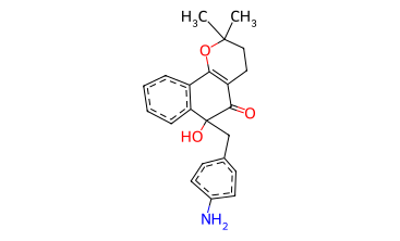 CC1(C)CCC2=C(O1)c1ccccc1C(O)(Cc1ccc(N)cc1)C2=O